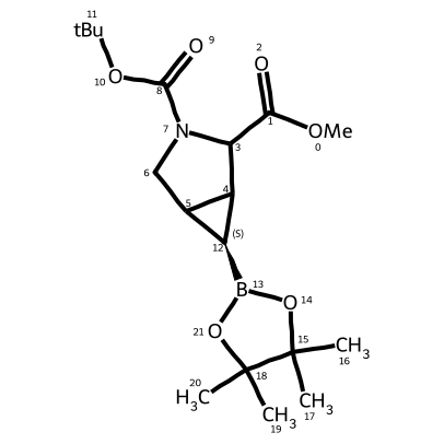 COC(=O)C1C2C(CN1C(=O)OC(C)(C)C)[C@@H]2B1OC(C)(C)C(C)(C)O1